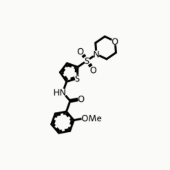 COc1ccccc1C(=O)Nc1ccc(S(=O)(=O)N2CCOCC2)s1